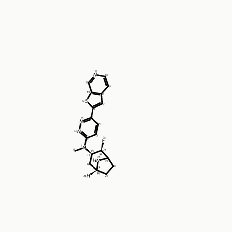 CN(c1ccc(-c2cc3ccncc3s2)nn1)[C@@H]1C[C@H]2CCC(N2)[C@@H]1F